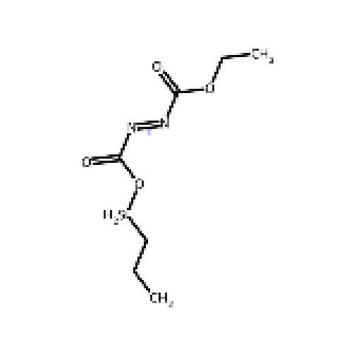 CCC[SiH2]OC(=O)/N=N/C(=O)OCC